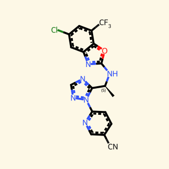 C[C@H](Nc1nc2cc(Cl)cc(C(F)(F)F)c2o1)c1ncnn1-c1ccc(C#N)cn1